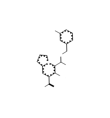 Cc1c(C(=O)O)cc2cccn2c1C(C)OCc1cccc(F)c1